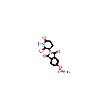 CCCCCOc1ccc2c(c1)C(=O)N(C1CCC(=O)NC1=O)C2=O